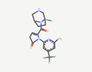 Cc1cc(C(F)(F)F)cc(N2C(=O)CC=C2C(=O)N2C3CC[C@H]2CNC3)n1